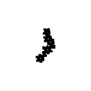 Cc1cc(Nc2ncc3cc(-c4cccs4)ccc3n2)ccc1OCc1ccccn1